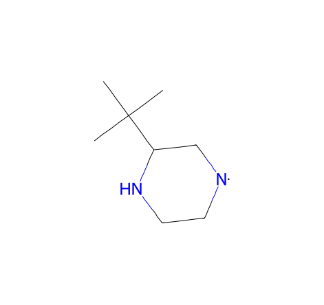 CC(C)(C)C1C[N]CCN1